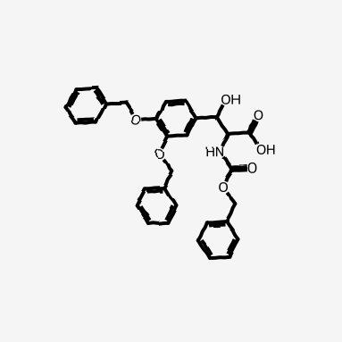 O=C(NC(C(=O)O)C(O)c1ccc(OCc2ccccc2)c(OCc2ccccc2)c1)OCc1ccccc1